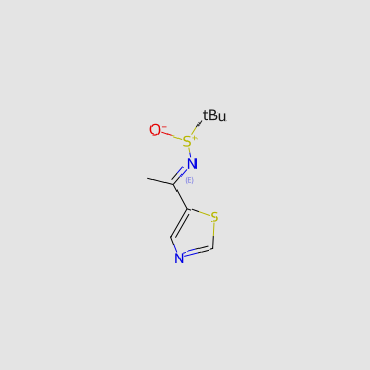 C/C(=N\[S+]([O-])C(C)(C)C)c1cncs1